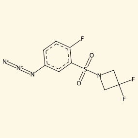 [N-]=[N+]=Nc1ccc(F)c(S(=O)(=O)N2CC(F)(F)C2)c1